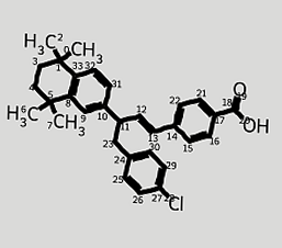 CC1(C)CCC(C)(C)c2cc(C(C=Cc3ccc(C(=O)O)cc3)Cc3ccc(Cl)cc3)ccc21